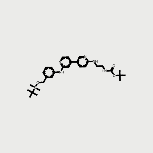 CC(C)(C)OC(=O)NCCNc1ccc(-c2ccnc(Nc3cccc(CO[Si](C)(C)C(C)(C)C)c3)c2)cn1